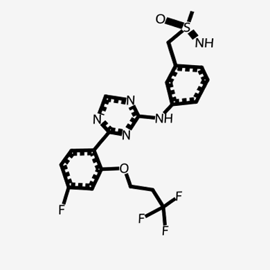 CS(=N)(=O)Cc1cccc(Nc2ncnc(-c3ccc(F)cc3OCCC(F)(F)F)n2)c1